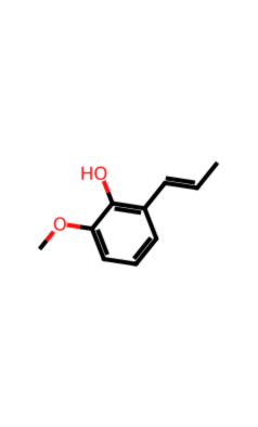 C/C=C/c1cccc(OC)c1O